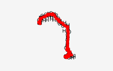 CC(=O)N1c2ccc(C3=CCN(C(=O)COCCOCCOCCOCCOCCC(=O)NCCCN(C)CCCNC(=O)CCNC(=O)c4nc(NC(=O)CCNC(=O)c5nc(NC(=O)c6nc(NC(=O)CCNC(=O)c7nc(NC(=O)c8nccn8C)cn7C)cn6C)cn5C)cn4C)CC3)cc2N(Cc2ccccc2CO)C[C@@H]1O